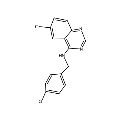 Clc1ccc(CNc2ncnc3ccc(Cl)cc23)cc1